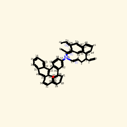 C=CC(C/C=C/N(/C(C)=c1\cccc\c1=C\C)c1ccc(-c2c3ccccc3cc3ccccc23)c(-c2ccccc2)c1)c1ccccc1